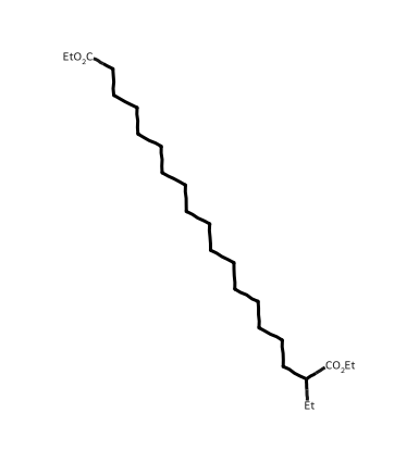 CCOC(=O)CCCCCCCCCCCCCCCCC(CC)C(=O)OCC